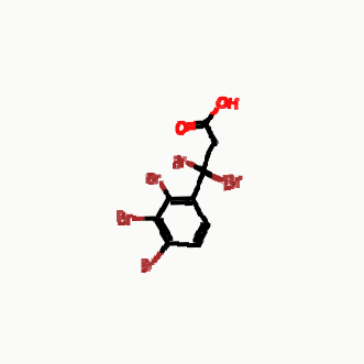 O=C(O)CC(Br)(Br)c1ccc(Br)c(Br)c1Br